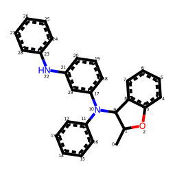 CC1Oc2ccccc2C1N(c1ccccc1)c1cccc(Nc2ccccc2)c1